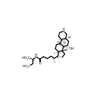 C[C@H](CCCC(=O)N[C@@H](CC(=O)O)C(=O)O)[C@H]1CC[C@H]2[C@@H]3[C@@H](O)C[C@@H]4CNCC[C@]4(C)[C@H]3CC[C@]12C